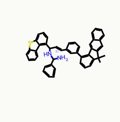 CC1(C)c2cc3ccccc3cc2-c2c(-c3cccc(/C=C/C(NC(N)c4ccccc4)c4cccc5sc6ccccc6c45)c3)cccc21